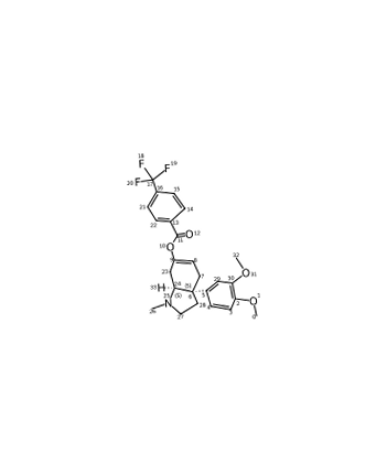 COc1ccc([C@@]23CC=C(OC(=O)c4ccc(C(F)(F)F)cc4)C[C@@H]2N(C)CC3)cc1OC